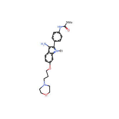 CCn1c(-c2ccc(NC(=O)NC)cc2)c(N)c2ccc(OCCCN3CCOCC3)cc21